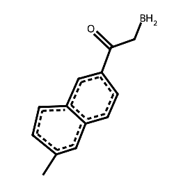 BCC(=O)c1ccc2cc(C)ccc2c1